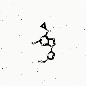 Nc1nc(NC2CC2)c2ncn([C@H]3C=C[C@@H](CO)O3)c2n1